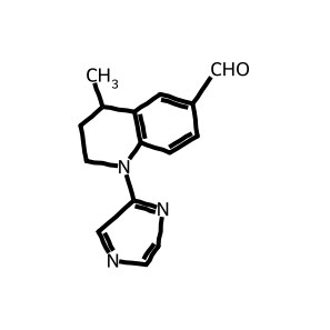 CC1CCN(c2cnccn2)c2ccc(C=O)cc21